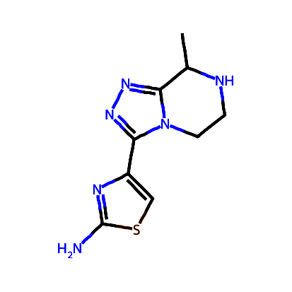 CC1NCCn2c(-c3csc(N)n3)nnc21